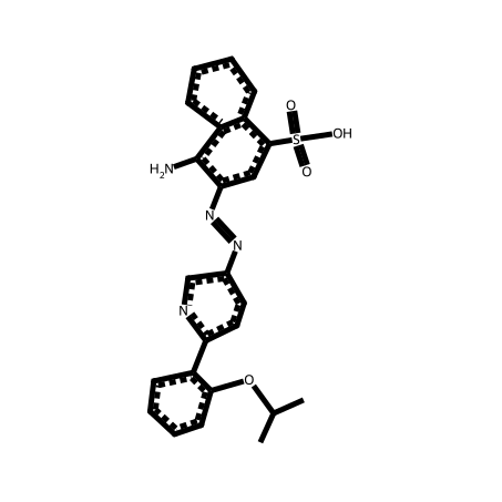 CC(C)Oc1ccccc1-c1ccc(N=Nc2cc(S(=O)(=O)O)c3ccccc3c2N)cn1